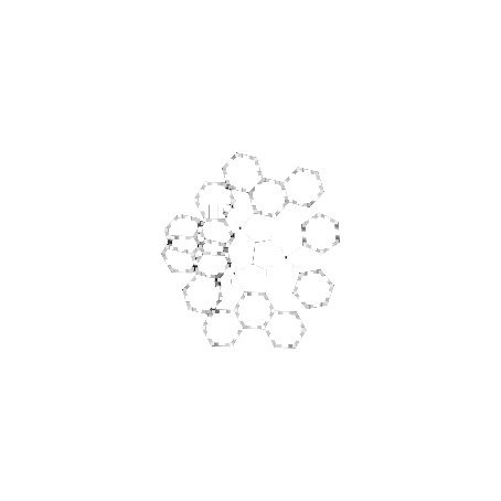 OC(c1cc2ccccc2c2ccccc12)(c1cc2ccccc2c2ccccc12)C1OC(c2ccccc2)(c2ccccc2)OC1C(O)(c1cc2ccccc2c2ccccc12)c1cc2ccccc2c2ccccc12